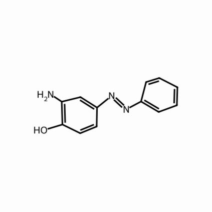 Nc1cc(N=Nc2ccccc2)ccc1O